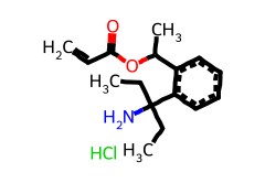 C=CC(=O)OC(C)c1ccccc1C(N)(CC)CC.Cl